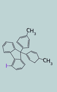 Cc1ccc(C2(C3=CCC(C)C=C3)c3ccccc3-c3c(I)cccc32)cc1